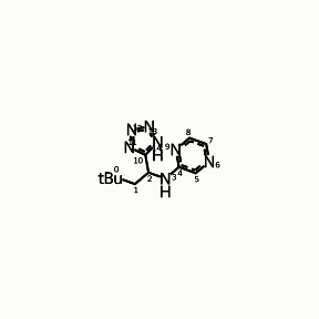 CC(C)(C)CC(Nc1cnccn1)c1nnn[nH]1